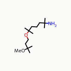 COC(C)(C)CCOC(C)(C)CCCC(C)(C)N